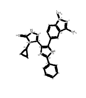 Cc1nn(C)c2ccc(-c3[nH]c(-c4ccccc4)nc3-c3n[nH]c(=O)n3C3CC3)cc12